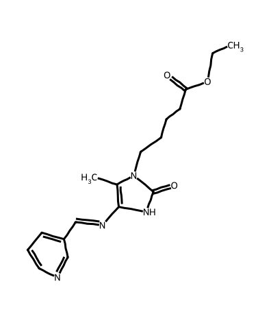 CCOC(=O)CCCCn1c(C)c(N=Cc2cccnc2)[nH]c1=O